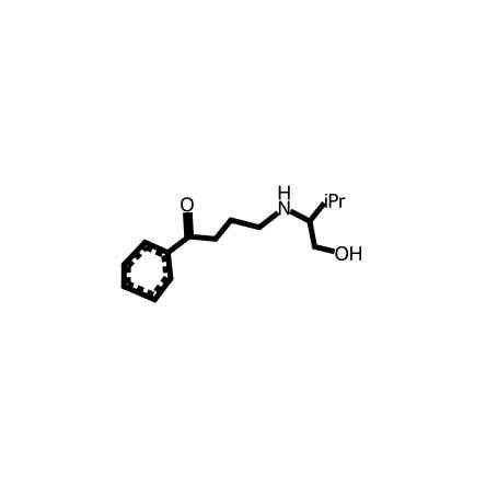 CC(C)C(CO)NCCCC(=O)c1ccccc1